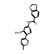 COc1cc(NC(=O)c2ccc3c(c2)OCO3)ccc1C1=CC=C(C)OC1